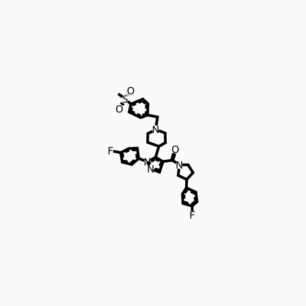 CS(=O)(=O)c1ccc(CN2CCC(c3c(C(=O)N4CCC(c5ccc(F)cc5)C4)cnn3-c3ccc(F)cc3)CC2)cc1